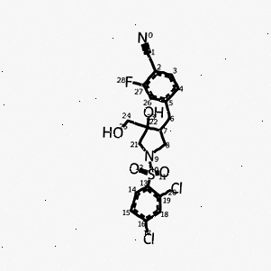 N#Cc1ccc(CC2CN(S(=O)(=O)c3ccc(Cl)cc3Cl)CC2(O)CO)cc1F